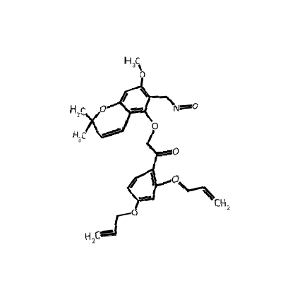 C=CCOc1ccc(C(=O)COc2c3c(cc(OC)c2CN=O)OC(C)(C)C=C3)c(OCC=C)c1